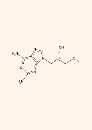 COC[C@@H](O)Cn1cnc2c(N)nc(N)nc21